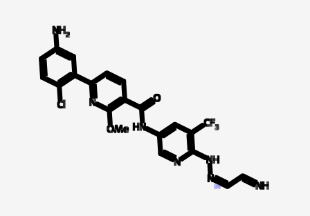 COc1nc(-c2cc(N)ccc2Cl)ccc1C(=O)Nc1cnc(N/N=C\C=N)c(C(F)(F)F)c1